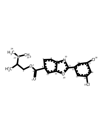 CC(COC(=O)c1ccc2nc(-c3cc(Cl)cc(Cl)c3)oc2c1)N(C)C